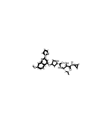 CCC[C@H](NC(=O)[C@@H]1CC(Oc2cc(-n3cccn3)nc3cc(OC)ccc23)CN1)C(O)C(=O)NC1CC1